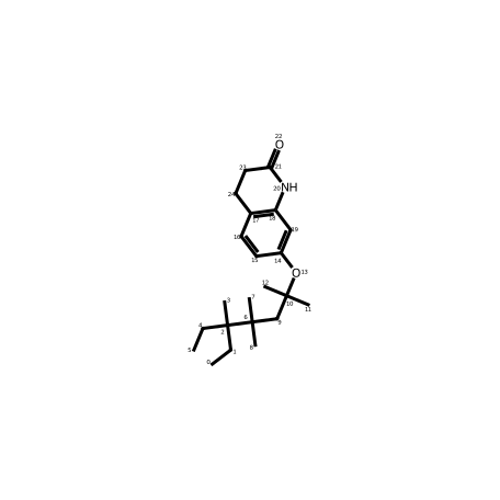 CCC(C)(CC)C(C)(C)CC(C)(C)Oc1ccc2c(c1)NC(=O)CC2